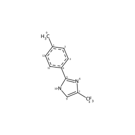 Cc1ccc(C2=NC(C(F)(F)F)=C[N]2)cc1